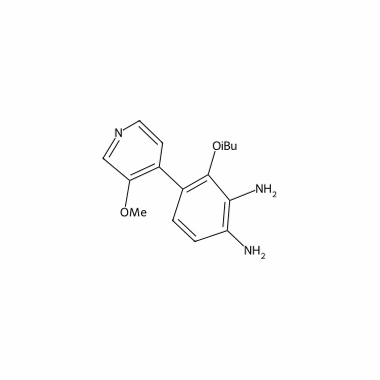 COc1cnccc1-c1ccc(N)c(N)c1OCC(C)C